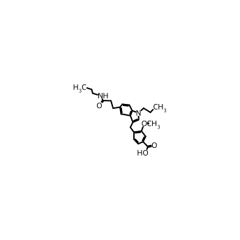 CCCNC(=O)CCc1ccc2c(c1)c(Cc1ccc(C(=O)O)cc1OC)cn2CCC